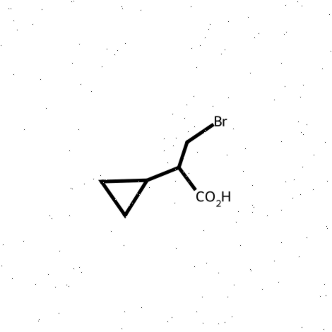 O=C(O)C(CBr)C1CC1